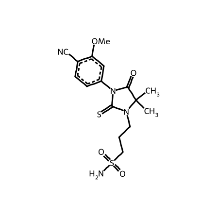 COc1cc(N2C(=O)C(C)(C)N(CCCS(N)(=O)=O)C2=S)ccc1C#N